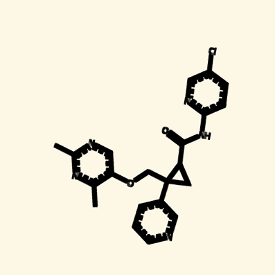 Cc1ncc(OCC2(c3cccnc3)CC2C(=O)Nc2ccc(Cl)cn2)c(C)n1